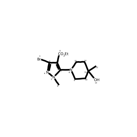 CCOC(=O)c1c(Br)nn(C)c1N1CCC(C)(O)CC1